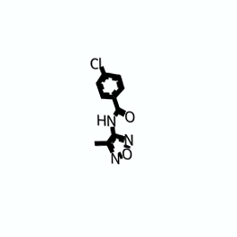 Cc1nonc1NC(=O)c1ccc(Cl)cc1